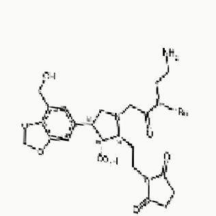 CCCCN(CCN)C(=O)CN1C[C@H](c2cc(CO)c3c(c2)OCO3)[C@@H](C(=O)O)[C@@H]1CCN1C(=O)CCC1=O